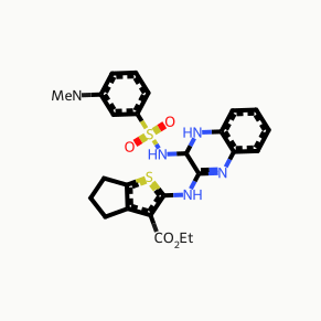 CCOC(=O)c1c(NC2=Nc3ccccc3NC2NS(=O)(=O)c2cccc(NC)c2)sc2c1CCC2